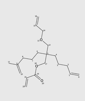 C=CCCCC(CCCC(=C)C)(COCC=C)COC(=O)C=C